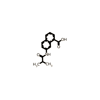 CC(C)C(=O)Nc1ccc2cccc(C(=O)O)c2c1